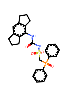 O=C(Nc1c2c(cc3c1CCC3)CCC2)NS(=O)(=O)CP(=O)(c1ccccc1)c1ccccc1